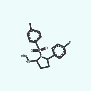 CCCCNC1CCC(c2ccc(F)cc2)N1S(=O)(=O)c1ccc(C)cc1